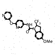 COc1ccc2c(c1)CC(C(F)(F)F)N2C(=O)Nc1ccc(Oc2cccnc2)nc1